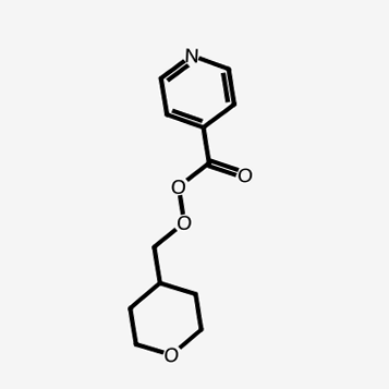 O=C(OOCC1CCOCC1)c1ccncc1